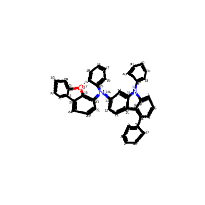 c1ccc(-c2cccc3c2c2ccc(N(c4ccccc4)c4cccc5c4oc4ccccc45)cc2n3-c2ccccc2)cc1